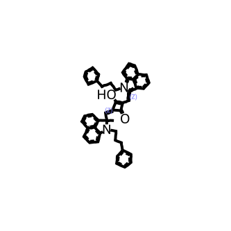 CC1(/C=C2\C(=O)C(/C=c3/c4cccc5cccc(c54)n3CCCc3ccccc3)=C2O)c2cccc3cccc(c23)N1CCCc1ccccc1